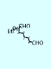 CCON(C=O)CCCCCC=O